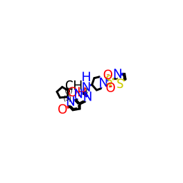 C[C@]1(O)CCC[C@@H]1n1c(=O)ccc2cnc(NC3CCN(S(=O)(=O)c4nccs4)CC3)nc21